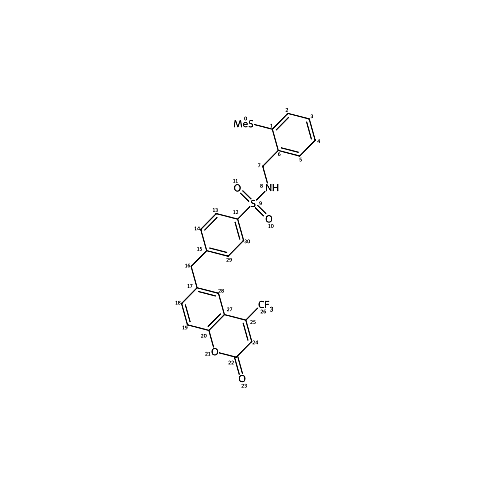 CSc1ccccc1CNS(=O)(=O)c1ccc(Cc2ccc3oc(=O)cc(C(F)(F)F)c3c2)cc1